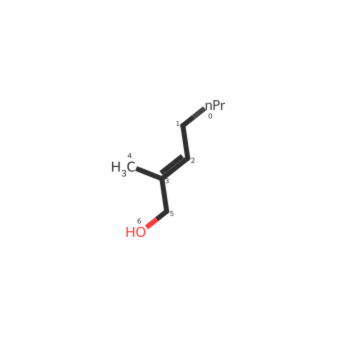 CCCC/C=C(\C)CO